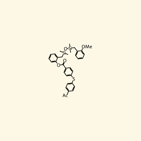 COc1ccccc1C[Si](C)(C)O[Si](C)(C)Cc1ccccc1OC(=O)c1ccc(Sc2ccc(C(C)=O)cc2)cc1